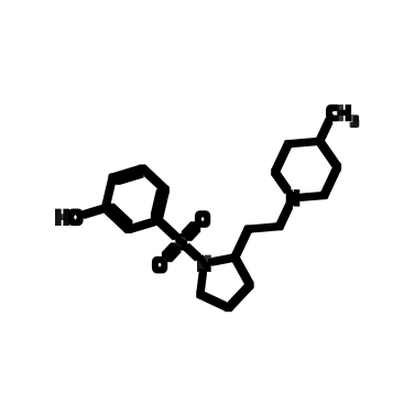 CC1CCN(CCC2CCCN2S(=O)(=O)c2cccc(O)c2)CC1